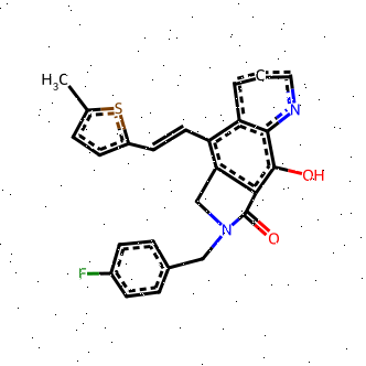 Cc1ccc(/C=C/c2c3c(c(O)c4ncccc24)C(=O)N(Cc2ccc(F)cc2)C3)s1